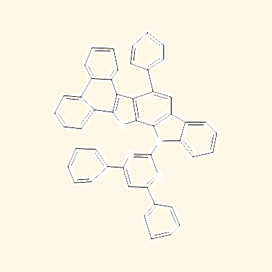 c1ccc(-c2cc(-c3ccccc3)nc(-n3c4ccccc4c4cc(-c5ccccc5)c5c(sc6c7ccccc7c7ccccc7c65)c43)n2)cc1